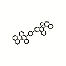 c1ccc2c(-c3c4ccccc4c(-c4ccc(-c5ccc6c(c5)c5ccccc5c5c6oc6ccc7ccccc7c65)cc4)c4ccccc34)cccc2c1